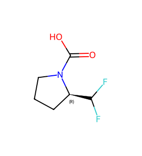 O=C(O)N1CCC[C@@H]1C(F)F